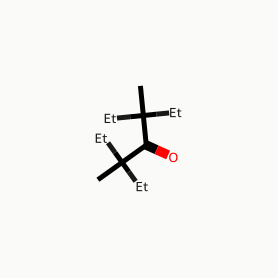 CCC(C)(CC)C(=O)C(C)(CC)CC